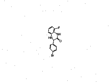 O=C1Nc2c(F)cccc2NC1c1ccc(Br)cc1